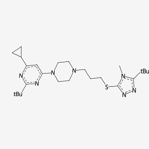 Cn1c(SCCCN2CCN(c3cc(C4CC4)nc(C(C)(C)C)n3)CC2)nnc1C(C)(C)C